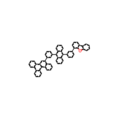 c1cc(-c2c3ccccc3c(-c3cccc(-c4cccc5c4oc4ccccc45)c3)c3ccccc23)cc(-c2cc3c4ccccc4c4ccccc4c3c3ccccc23)c1